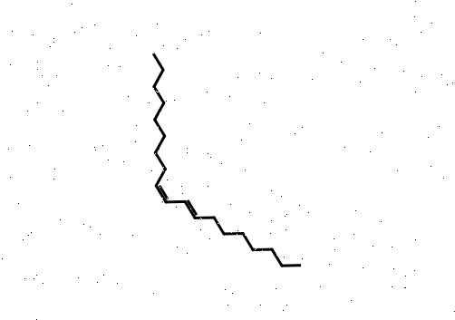 CCCCCCC/C=C/[C]=C\CCCCCCCC